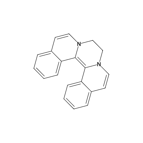 C1=CN2CCN3C=Cc4ccccc4C3=C2c2ccccc21